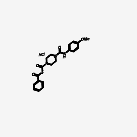 COc1ccc(NC(=O)N2CCN(C(=O)SC(=O)c3ccccc3)CC2)cc1.Cl